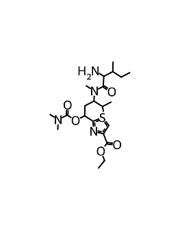 CCOC(=O)c1csc(C(CC(C(C)C)N(C)C(=O)C(N)C(C)CC)OC(=O)N(C)C)n1